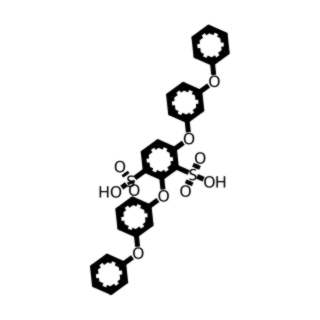 O=S(=O)(O)c1ccc(Oc2cccc(Oc3ccccc3)c2)c(S(=O)(=O)O)c1Oc1cccc(Oc2ccccc2)c1